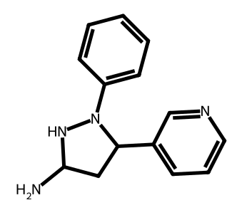 NC1CC(c2cccnc2)N(c2ccccc2)N1